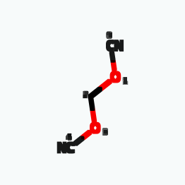 N#COCOC#N